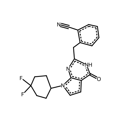 N#Cc1ccccc1Cc1nc2c(ccn2C2CCC(F)(F)CC2)c(=O)[nH]1